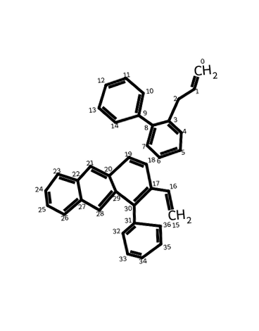 C=CCc1ccccc1-c1ccccc1.C=Cc1ccc2cc3ccccc3cc2c1-c1ccccc1